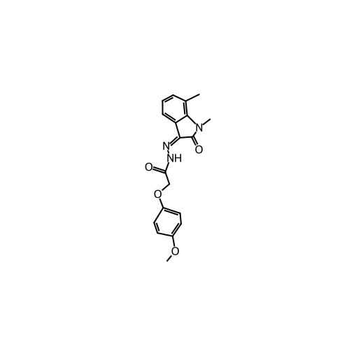 COc1ccc(OCC(=O)NN=C2C(=O)N(C)c3c(C)cccc32)cc1